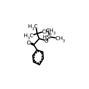 C[SiH](C)OC(C(=O)c1ccccc1)C(C)(C)C